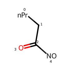 CCCCC(=O)N=O